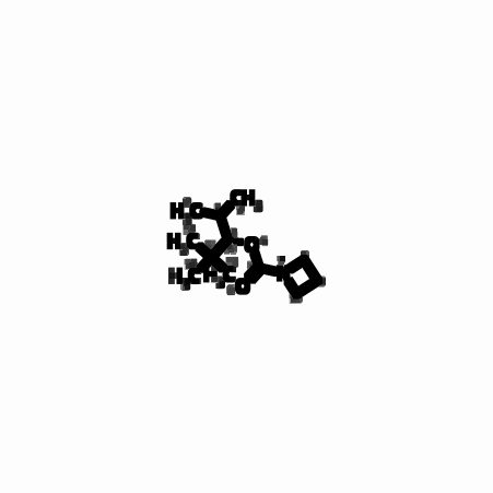 CC(C)[C@H](OC(=O)N1CCC1)C(C)(C)C